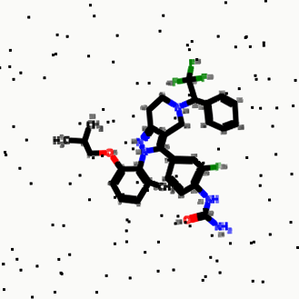 Cc1cccc(OCC(C)C)c1-n1nc2c(c1-c1ccc(NC(N)=O)c(F)c1)CN(C(c1ccccc1)C(F)(F)F)CC2